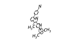 CCc1c(-c2ccc(N3CC(C)O[C@H](C)C3)nc2)cnc2c(-c3ccc(C#N)cc3)cccc12